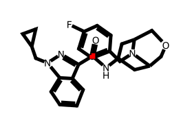 O=C(NC1CC2COCC(C1)N2Cc1ccc(F)cc1)c1nn(CC2CC2)c2ccccc12